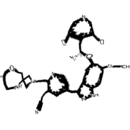 COc1cc2[nH]nc(-c3cnc(N4CC5(COCCN5)C4)c(C#N)c3)c2cc1O[C@H](C)c1c(Cl)cncc1Cl